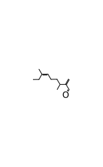 C=C(C=O)C(C)CCC=C(C)CC